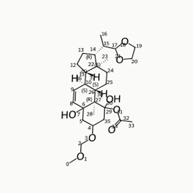 COCOC1CC2(O)C=C[C@H]3[C@@H]4CC[C@H](C(C)C5OCCO5)[C@@]4(C)CC[C@@H]3[C@@]2(C)C(O)(OC(C)=O)C1